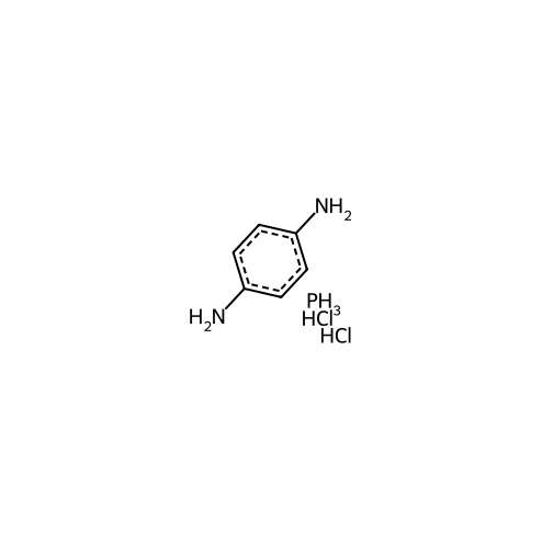 Cl.Cl.Nc1ccc(N)cc1.P